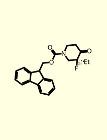 CC[C@]1(F)CN(C(=O)OCC2c3ccccc3-c3ccccc32)CCC1=O